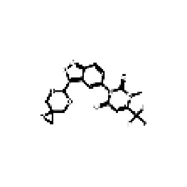 Cn1c(C(F)(F)F)cc(=O)n(-c2ccc3nsc(C4OCC5(CO4)CO5)c3c2)c1=O